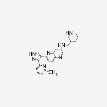 Cc1cccc(-c2n[nH]cc2-c2ccc3ncc(NCC4CCCNC4)cc3n2)n1